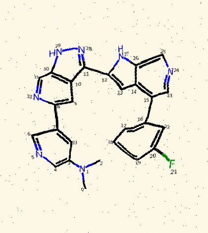 CN(C)c1cncc(-c2cc3c(-c4cc5c(-c6cccc(F)c6)cncc5[nH]4)n[nH]c3cn2)c1